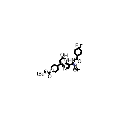 CC(C)(C)OC(=O)N1CCC(c2cc(=O)[nH]c3c(/C(=N\O)NC(=O)C4CCC(F)(F)CC4)cnn23)CC1